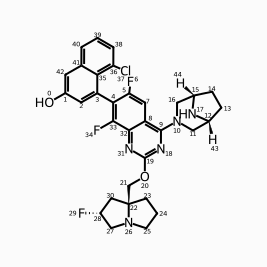 Oc1cc(-c2c(F)cc3c(N4C[C@H]5CC[C@@H](C4)N5)nc(OC[C@@]45CCCN4C[C@H](F)C5)nc3c2F)c2c(Cl)cccc2c1